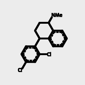 CNC1CCC(c2ccc(Cl)cc2Cl)c2ccccc21